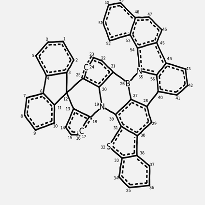 c1ccc2c(c1)-c1ccccc1C21c2ccccc2N2c3c(cccc31)B1c3c(cc4c(sc5ccccc54)c32)-c2cccc3c4ccc5ccccc5c4n1c23